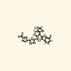 O=C(c1nnc(-c2ccn(C(F)F)n2)o1)N1CCc2[nH]cnc2[C@H]1c1cc2cccc(F)c2o1